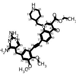 CCOC(=O)c1cn(CC2CCNCC2)c2cc(C#Cc3cc(Cc4cnc(N)nc4N)cc(OC)c3OC)ccc2c1=O